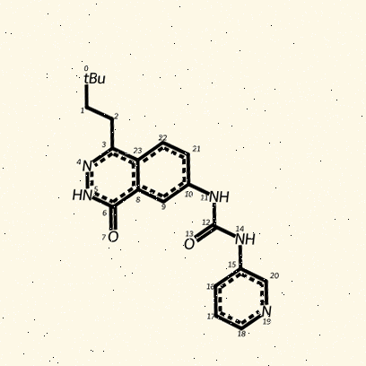 CC(C)(C)CCc1n[nH]c(=O)c2cc(NC(=O)Nc3cccnc3)ccc12